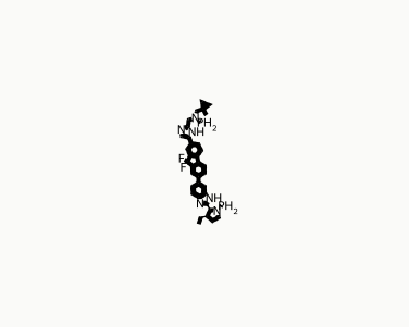 CC[C@@H]1CCN(P)[C@@H]1c1nc2ccc(-c3ccc4c(c3)C(F)(F)c3cc(-c5cnc(CN(P)CC6(C)CC6)[nH]5)ccc3-4)cc2[nH]1